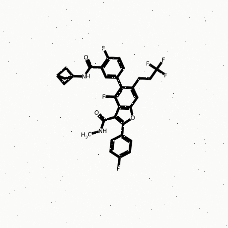 CNC(=O)c1c(-c2ccc(F)cc2)oc2cc(CCC(F)(F)F)c(-c3ccc(F)c(C(=O)NC45CC(C4)C5)c3)c(F)c12